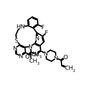 C=CC(=O)N1CCN(c2nc(=O)n3c4nc(c(F)cc24)-c2c(F)cccc2NCCSc2ncnc(C(C)C)c2-3)CC1